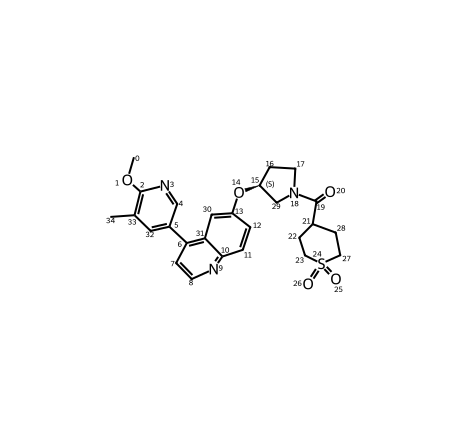 COc1ncc(-c2ccnc3ccc(O[C@H]4CCN(C(=O)C5CCS(=O)(=O)CC5)C4)cc23)cc1C